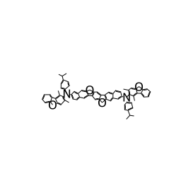 Cc1cc2oc3ccccc3c2c(C)c1N(c1ccc(C(C)C)cc1)c1ccc2cc3c(cc2c1)oc1cc2c(cc13)oc1cc3cc(N(c4ccc(C(C)C)cc4)c4c(C)cc5oc6ccccc6c5c4C)ccc3cc12